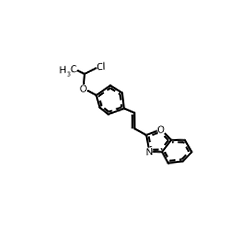 CC(Cl)Oc1ccc(/C=C/c2nc3ccccc3o2)cc1